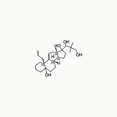 C=CC[C@]12CCCCC1(O)CC[C@@H]1C2=CC[C@@]2(C)[C@H]1CCC2(O)C(O)C(C)(C)CO